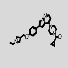 CCN1CC(COc2ccc(-c3cc4c(N5CCN(C(=O)C6CC6)CC5)ccnn4c3)cc2)C1